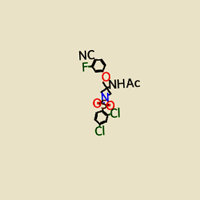 CC(=O)NC1(COc2ccc(C#N)c(F)c2)CN(S(=O)(=O)c2ccc(Cl)cc2Cl)C1